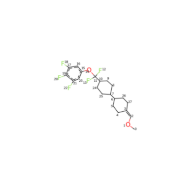 COC=C1CCC(C2CCC(C(F)(F)Oc3cc(F)c(F)c(F)c3)CC2)CC1